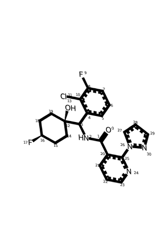 O=C(NC(c1cccc(F)c1Cl)[C@]1(O)CC[C@@H](F)CC1)c1cccnc1-n1cccn1